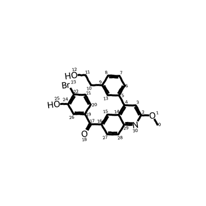 COc1cc(-c2cccc(CCO)c2)c2cc(C(=O)c3ccc(Br)c(O)c3)ccc2n1